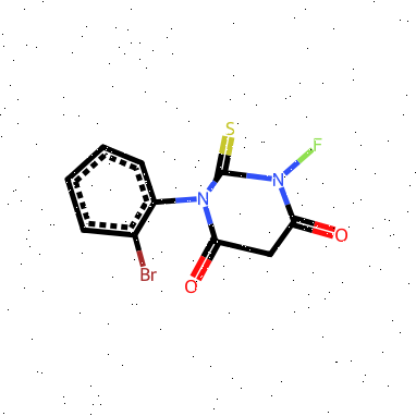 O=C1CC(=O)N(c2ccccc2Br)C(=S)N1F